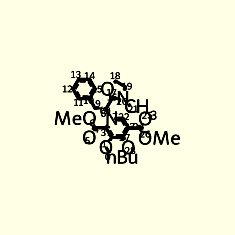 CCCCOc1c(C(=O)OC)n([C@@H](Cc2ccccc2)C2OCCN2C)cc(C(=O)OC)c1=O